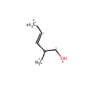 [CH2]C=CC(C)CO